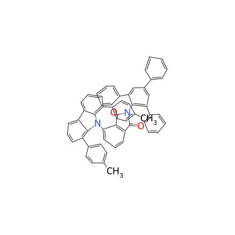 Cc1ccc(-c2cccc3c4cccc(-c5ccc(C)cc5)c4n(-c4cccc5c4C(=O)N(c4c(-c6ccccc6)cc(-c6ccccc6)cc4-c4ccccc4)C5=O)c23)cc1